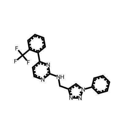 FC(F)(F)c1ccccc1-c1ccnc(NCc2cn(-c3ccccc3)nn2)n1